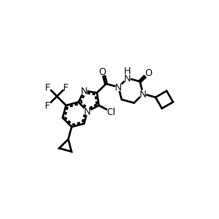 O=C(c1nc2c(C(F)(F)F)cc(C3CC3)cn2c1Cl)N1CCN(C2CCC2)C(=O)N1